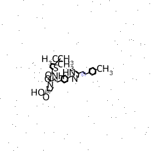 Cc1ccc(/C=C/C2=CNC(c3ccc(C[C@H](NC(=O)c4ccc(C(C)(C)C)s4)C(=O)N4CC[C@H](C(=O)O)C4)cc3)N=C2)cc1